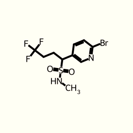 CNS(=O)(=O)C(CCC(F)(F)F)c1ccc(Br)nc1